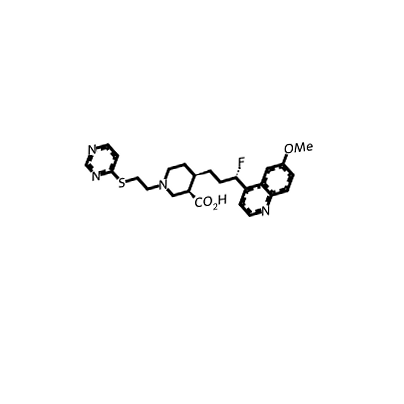 COc1ccc2nccc([C@@H](F)CC[C@@H]3CCN(CCSc4ccncn4)C[C@@H]3C(=O)O)c2c1